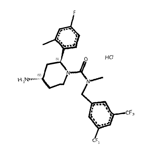 Cc1cc(F)ccc1[C@@H]1C[C@@H](N)CCN1C(=O)N(C)Cc1cc(C(F)(F)F)cc(C(F)(F)F)c1.Cl